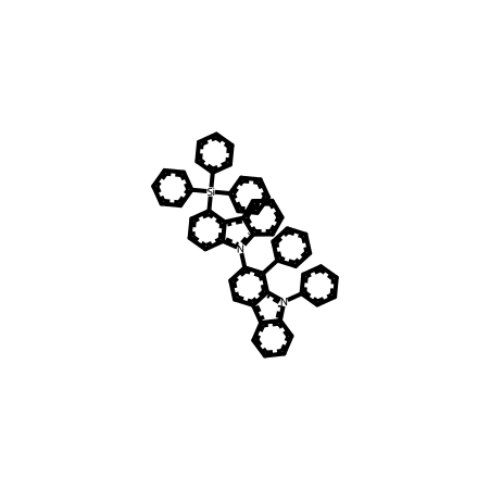 c1ccc(-c2c(-n3c4ccccc4c4c([Si](c5ccccc5)(c5ccccc5)c5ccccc5)cccc43)ccc3c4ccccc4n(-c4ccccc4)c23)cc1